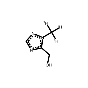 [2H]C([2H])([2H])n1ncnc1CO